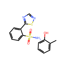 Cc1ccccc1O.NS(=O)(=O)c1ccccc1-c1ncns1